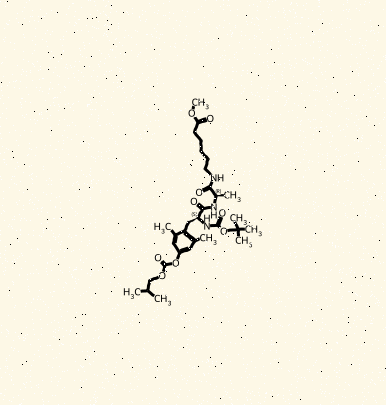 COC(=O)CCCCCNC(=O)[C@@H](C)NC(=O)[C@H](Cc1c(C)cc(OC(=O)OCC(C)C)cc1C)NC(=O)OC(C)(C)C